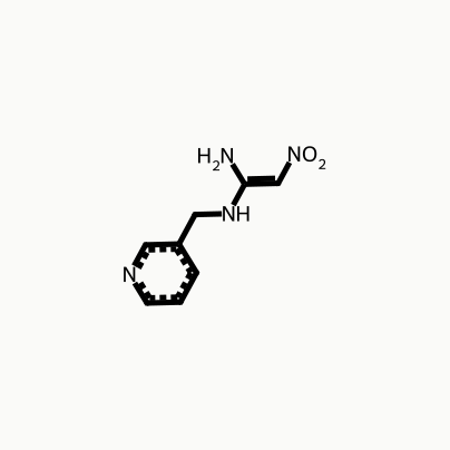 NC(=C[N+](=O)[O-])NCc1cccnc1